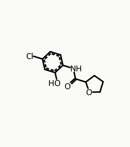 O=C(Nc1ccc(Cl)cc1O)C1CCCO1